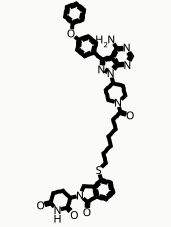 Nc1ncnc2c1c(-c1ccc(Oc3ccccc3)cc1)nn2C1CCN(C(=O)CCCCCCSc2cccc3c2CN(C2CCC(=O)NC2=O)C3=O)CC1